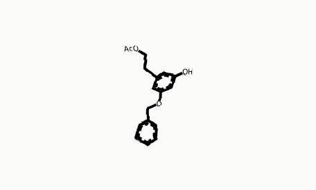 CC(=O)OCCc1cc(O)cc(OCc2ccccc2)c1